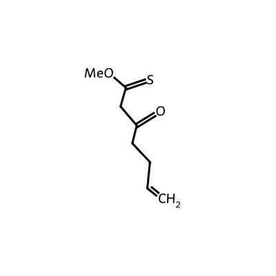 C=CCCC(=O)CC(=S)OC